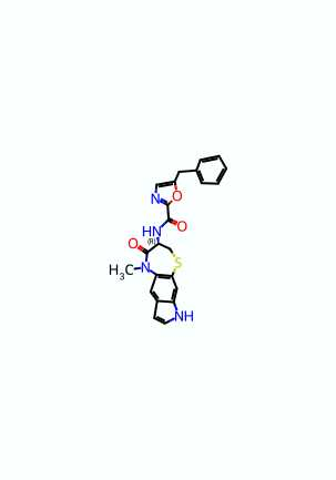 CN1C(=O)[C@@H](NC(=O)c2ncc(Cc3ccccc3)o2)CSc2cc3[nH]ccc3cc21